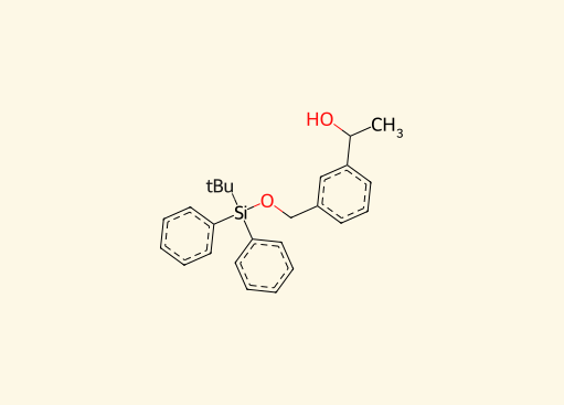 CC(O)c1cccc(CO[Si](c2ccccc2)(c2ccccc2)C(C)(C)C)c1